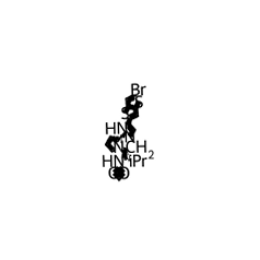 C=C([C@@H](NC1OCO1)C(C)C)N1CCC[C@H]1c1ncc(C2=CC3SC(Br)=CC3S2)[nH]1